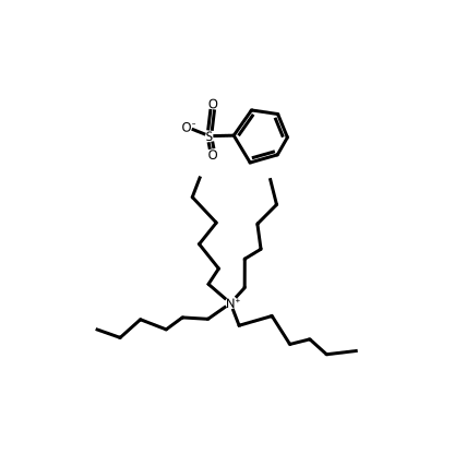 CCCCCC[N+](CCCCCC)(CCCCCC)CCCCCC.O=S(=O)([O-])c1ccccc1